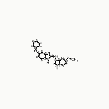 CCc1ccc2[nH]cc(Nc3nc4cc(Oc5ccccc5)ccc4[nH]3)c2n1